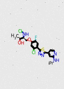 CC(C)Nc1cc(-c2nnc(-c3cc(F)c(OC[C@H](NCl)[C@@H](C)O)cc3Cl)s2)ccn1